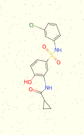 O=C(Nc1cc(S(=O)(=O)Nc2cccc(Cl)c2)ccc1O)C1CC1